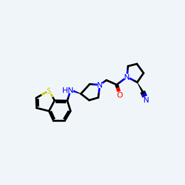 N#C[C@@H]1CCCN1C(=O)CN1CC[C@@H](Nc2cccc3ccsc23)C1